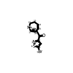 O=C(c1cc(Br)sn1)N1CCN2CCC=C1CC2